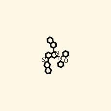 c1ccc2c(c1)Oc1ccccc1N2c1cc2c(ccc3sc4cc5ccccc5cc4c32)c(-c2ccc3ccccc3c2)n1